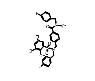 CC(C)N(Cc1ccc(F)cc1)C(=O)c1ccc(CN(Cc2ccc(F)cc2)S(=O)(=O)c2cc(Cl)cc(Cl)c2O)cc1